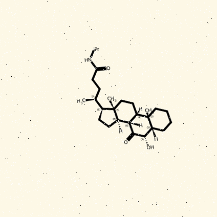 CC(C)NC(=O)CC[C@H](C)[C@@H]1CC[C@@H]2[C@H]3C(=O)[C@@H](O)[C@H]4CCCC[C@@]4(C)[C@@H]3CC[C@]21C